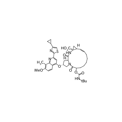 COc1ccc2c(O[C@@H]3C[C@H]4C(=O)N[C@]5(C(=O)O)C[C@H]5C=CCCCCCC(OC(=O)NC(C)(C)C)C(=O)N4C3)cc(-c3nc(C4CC4)cs3)nc2c1C